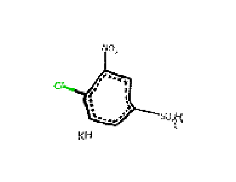 O=[N+]([O-])c1cc(S(=O)(=O)O)ccc1Cl.[KH]